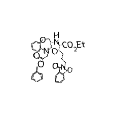 CCOC(=O)[C@H](CCCCN1C(=O)c2ccccc2C1=O)N[C@H]1COc2ccccc2N(CC(=O)OCc2ccccc2)C1=O